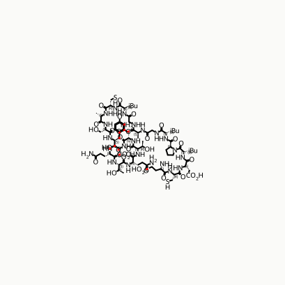 CC[C@H](C)[C@H](NC(=O)CNC(=O)[C@H](C)NC(=O)CNC(=O)[C@@H](NC(=O)[C@@H]1CCCN1C(=O)[C@@H](NC(=O)[C@H](CC(=O)O)NC(=O)[C@H](CS)NC(=O)[C@@H](N)CCC(=O)O)[C@@H](C)CC)[C@@H](C)CC)C(=O)N[C@@H](CS)C(=O)N[C@@H](C)C(=O)N[C@@H](CO)C(=O)N[C@@H](Cc1ccc(O)cc1)C(=O)N[C@@H](CCC(N)=O)C(=O)N[C@H](C(=O)N[C@@H](CCC(N)=O)C(=O)N[C@H](C(=O)N[C@@H](CC(N)=O)C(=O)N[C@@H](CO)C(=O)O)[C@@H](C)O)[C@@H](C)O